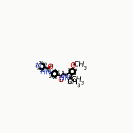 COc1ccc2c(c1)/C(=C/C(=O)c1ccc(NC(=O)c3ccncc3)cc1)NC2(C)C